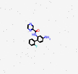 Nc1ccc(-c2ccccc2F)c(NC(=O)c2cnccn2)c1